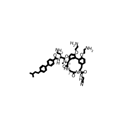 CC(C)CCc1ccc(-c2ccc(C(=O)N[C@@H](CCN)C(=O)N(C)[C@@H]3C(=O)N[C@@H](C)C(=O)N[C@H](C(=O)NCC#N)Cc4ccc(OCCN)c(c4)-c4cc3ccc4OCCN)cc2)cc1